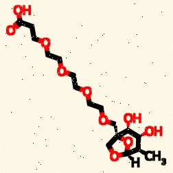 C[C@H]1[C@H]2OC[C@](COCCOCCOCCOCCC(=O)O)(O2)[C@H](O)[C@@H]1O